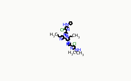 CCCc1cc(-n2cc(-c3ncc(NC4CCCC4)cc3Cl)cn2)c(-c2cc(-n3cc(-c4ncc(NC(C)C)cc4Cl)cn3)cc(CCC)n2)cn1